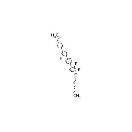 CCCCCCCCOc1ccc(-c2ccc(-c3ccc(C4=CCC(CCC)CC4)cc3F)cc2)c(F)c1F